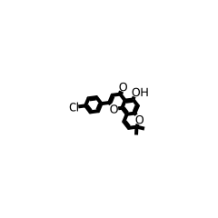 CC1(C)C=Cc2c(cc(O)c3c(=O)cc(-c4ccc(Cl)cc4)oc23)O1